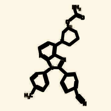 Cc1ccc(-n2c(-c3ccc(C#N)cc3)nc3c(N4CCC[C@@H](OC(N)=O)C4)ccnc32)cc1